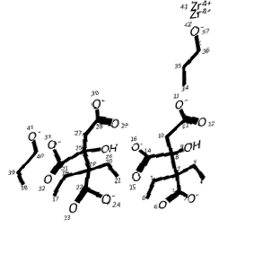 CCC(CC)(C(=O)[O-])C(O)(CC(=O)[O-])C(=O)[O-].CCC(CC)(C(=O)[O-])C(O)(CC(=O)[O-])C(=O)[O-].CCC[O-].CCC[O-].[Zr+4].[Zr+4]